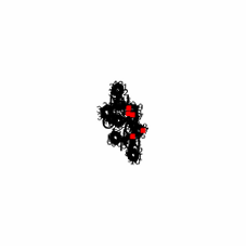 c1ccc(-c2nc(-c3ccccc3)nc(-c3cccc4c3oc3c(-c5ccc6oc7cccc(-c8nc(-c9ccccc9)nc(-c9ccccc9)n8)c7c6c5)cccc34)n2)cc1